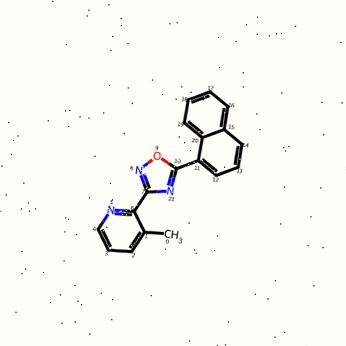 Cc1cccnc1-c1noc(-c2cccc3ccccc23)n1